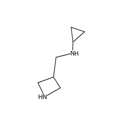 C1NCC1CNC1CC1